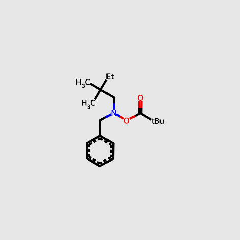 CCC(C)(C)CN(Cc1ccccc1)OC(=O)C(C)(C)C